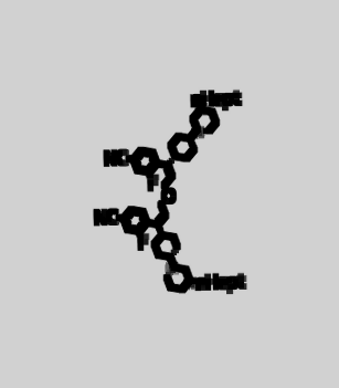 CCCCCCC[C@H]1CCC[C@H]([C@H]2CC[C@H](C(=CCOCC=C(c3ccc(C#N)cc3F)[C@H]3CC[C@H]([C@H]4CCC[C@H](CCCCCCC)C4)CC3)c3ccc(C#N)cc3F)CC2)C1